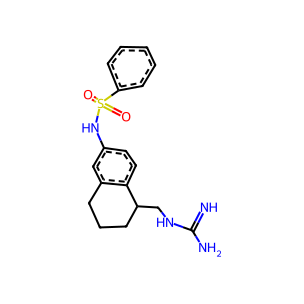 N=C(N)NCC1CCCc2cc(NS(=O)(=O)c3ccccc3)ccc21